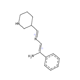 N/C(=C\N=C\C1CCCNC1)c1ccccc1